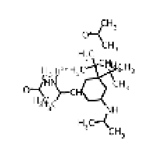 CC(C)NC1CCCC(C(C)(C)C)(C(C)(C)C)C1.CC(C)[NH][Ti+2].CC(C)[O-].CC(C)[O-]